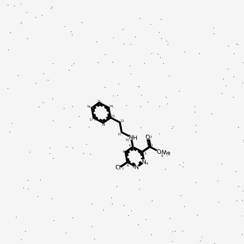 COC(=O)c1nnc(Cl)cc1NCCc1ccccc1